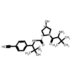 C#Cc1ccc(C(NC(=O)[C@@H]2C[C@@H](O)CN2C(=O)C(N)C(C)(C)C)C(C)(C)O)cc1